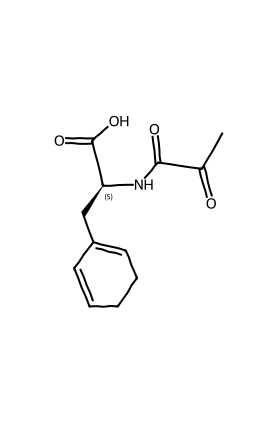 CC(=O)C(=O)N[C@@H](CC1=CCCC=C1)C(=O)O